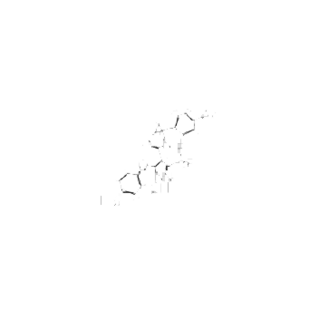 CC(=O)c1ccc(C2(NC(=O)c3c(C(F)F)nn(C)c3Oc3ccc(C(F)(F)F)cc3)CC2)cc1